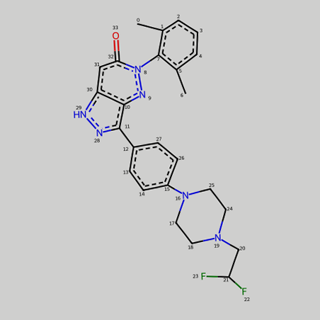 Cc1cccc(C)c1-n1nc2c(-c3ccc(N4CCN(CC(F)F)CC4)cc3)n[nH]c2cc1=O